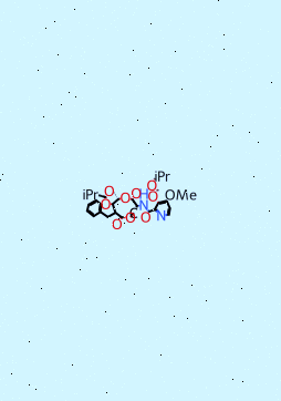 COc1ccnc(C(=O)N[C@H]2COC(=O)C(Cc3ccccc3)[C@@H](OC(=O)C(C)C)[C@H](C)OC2=O)c1OCOC(C)C